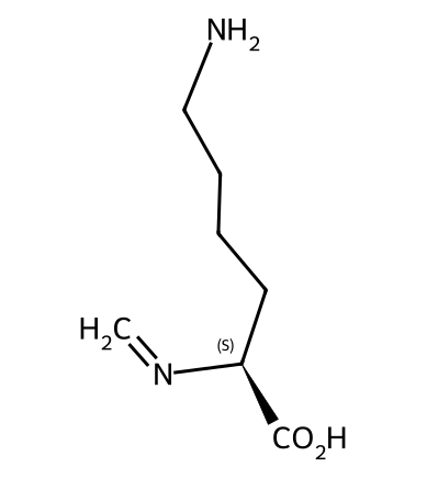 C=N[C@@H](CCCCN)C(=O)O